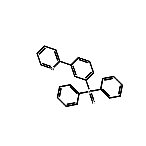 O=P(c1ccccc1)(c1ccccc1)c1cccc(-c2ccccn2)c1